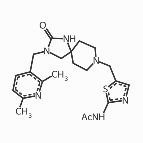 CC(=O)Nc1ncc(CN2CCC3(CC2)CN(Cc2ccc(C)nc2C)C(=O)N3)s1